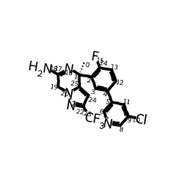 C[C@@]1(c2cc(-c3cncc(Cl)c3)ccc2F)N=C(N)Cn2nc(C(F)(F)F)cc21